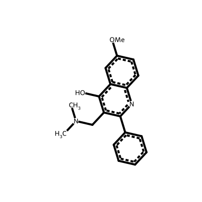 COc1ccc2nc(-c3ccccc3)c(CN(C)C)c(O)c2c1